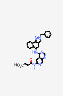 O=C(O)C=CC(=O)Nc1cc2c(Nc3cc4cn(Cc5ccccc5)nc4c4ccccc34)ncnc2cn1